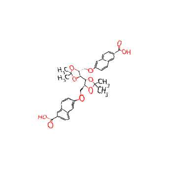 CC1(C)O[C@@H]([C@H]2OC(C)(C)O[C@@H]2COc2ccc3cc(C(=O)O)ccc3c2)[C@H](COc2ccc3cc(C(=O)O)ccc3c2)O1